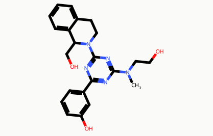 CN(CCO)c1nc(-c2cccc(O)c2)nc(N2CCc3ccccc3C2CO)n1